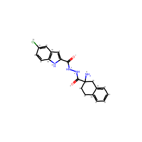 NC1(C(=O)NNC(=O)c2cc3cc(Cl)ccc3[nH]2)CCc2ccccc2C1